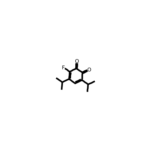 CC(C)C1=CC(C(C)C)=C(F)C(=O)C1=O